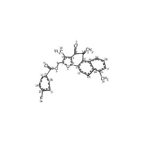 C=C1C(=O)c2c(oc(COC(=O)c3ccc(F)cc3)c2C)-c2ccc3c(C)cccc3c21